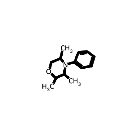 CC1OCC(C)N(c2ccccc2)C1C